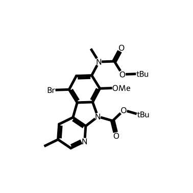 COc1c(N(C)C(=O)OC(C)(C)C)cc(Br)c2c3cc(C)cnc3n(C(=O)OC(C)(C)C)c12